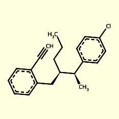 C#Cc1ccccc1C[C@@H](CCC)[C@H](C)c1ccc(Cl)cc1